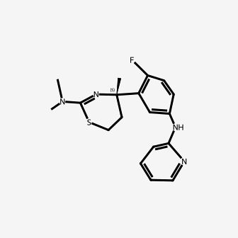 CN(C)C1=N[C@](C)(c2cc(Nc3ccccn3)ccc2F)CCS1